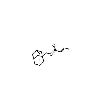 CC=CC(=O)OCC12CC3CC(CC(C3)C1)C2